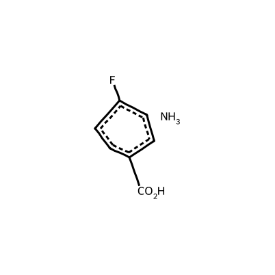 N.O=C(O)c1ccc(F)cc1